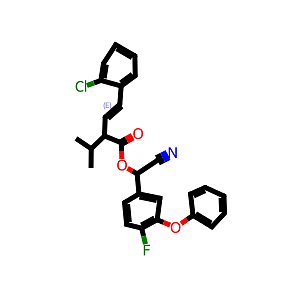 CC(C)C(/C=C/c1ccccc1Cl)C(=O)OC(C#N)c1ccc(F)c(Oc2ccccc2)c1